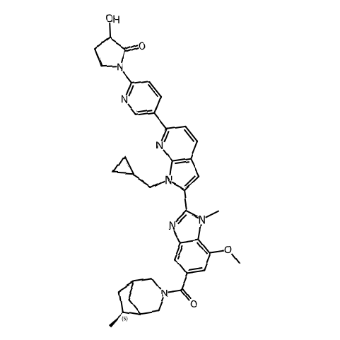 COc1cc(C(=O)N2CC3CC(C2)[C@@H](C)C3)cc2nc(-c3cc4ccc(-c5ccc(N6CCC(O)C6=O)nc5)nc4n3CC3CC3)n(C)c12